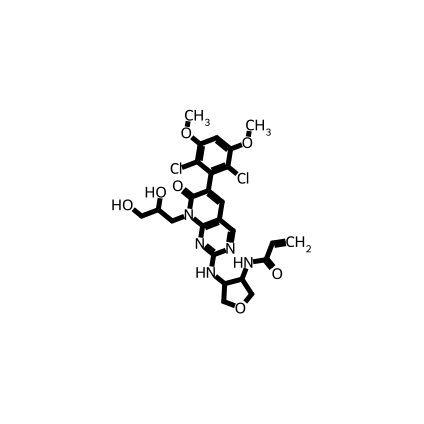 C=CC(=O)NC1COCC1Nc1ncc2cc(-c3c(Cl)c(OC)cc(OC)c3Cl)c(=O)n(CC(O)CO)c2n1